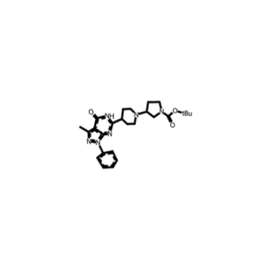 Cc1nn(-c2ccccc2)c2nc(C3CCN(C4CCN(C(=O)OC(C)(C)C)C4)CC3)[nH]c(=O)c12